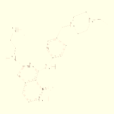 CCN1CCN(Cc2ccc(Nc3nc(NCCN)cc4cc[nH]c(=O)c34)cc2)CC1